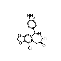 Nc1ccc(C2=NNC(=O)Cc3c2cc2c(c3Cl)OCO2)cc1